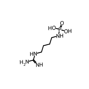 N=C(N)NCCCCNP(=O)(O)O